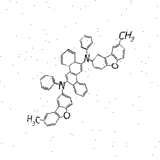 Cc1ccc2oc3c(c2c1)CC(N(C1=Cc2c(cc(N(c4ccccc4)c4ccc5oc6ccc(C)cc6c5c4)c4ccccc24)C2C=CC=CC12)c1ccccc1)C=C3